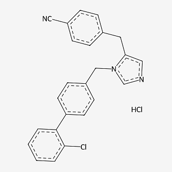 Cl.N#Cc1ccc(Cc2cncn2Cc2ccc(-c3ccccc3Cl)cc2)cc1